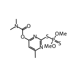 COP(=S)(OC)Sc1nc(C)cc(OC(=O)N(C)C)n1